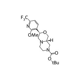 COc1nc(C(F)(F)F)ccc1[C@@H]1CN2CCN(C(=O)OC(C)(C)C)C[C@H]2CO1